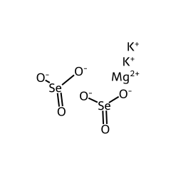 O=[Se]([O-])[O-].O=[Se]([O-])[O-].[K+].[K+].[Mg+2]